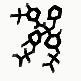 O=C(NC(Cc1ccccc1)(c1ccc(F)c(OC(F)(F)C(=O)O)c1)c1ccc(OC(F)(F)C(F)F)cc1F)c1ccc(F)c(C(F)(F)F)c1